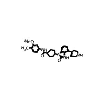 COc1cc(NC(=O)C2CCC(n3c(=O)[nH]c4c(C5=CCNCC5)cccc43)CC2)ccc1C